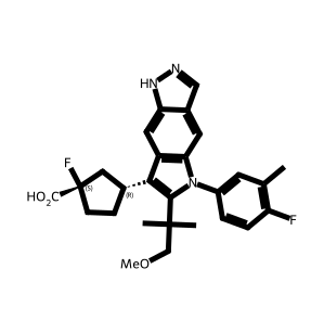 COCC(C)(C)c1c([C@@H]2CC[C@@](F)(C(=O)O)C2)c2cc3[nH]ncc3cc2n1-c1ccc(F)c(C)c1